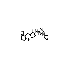 Fc1cccc(Cl)c1Cc1cccc(Nc2ncn(C3CCCC3)n2)c1